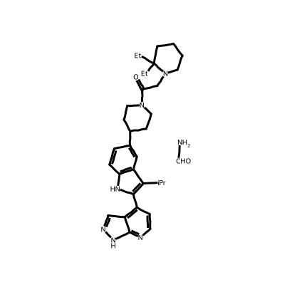 CCC1(CC)CCCCN1CC(=O)N1CCC(c2ccc3[nH]c(-c4ccnc5[nH]ncc45)c(C(C)C)c3c2)CC1.NC=O